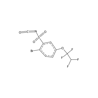 O=C=NS(=O)(=O)c1cc(OC(F)(F)C(F)F)ccc1Br